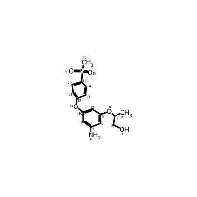 C[C@@H](CO)Oc1cc(N)cc(Oc2ccc(S(C)(=O)=O)cc2)c1